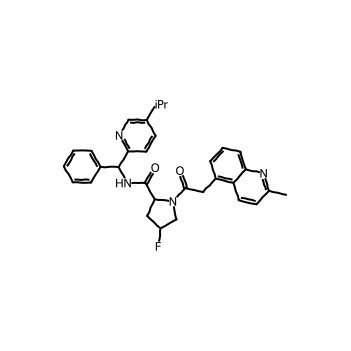 Cc1ccc2c(CC(=O)N3CC(F)CC3C(=O)NC(c3ccccc3)c3ccc(C(C)C)cn3)cccc2n1